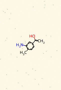 C=C(O)c1ccc(C)c(N)c1